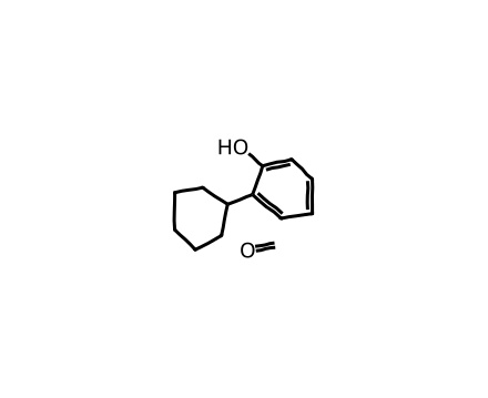 C=O.Oc1ccccc1C1CCCCC1